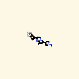 CCN1CCC(C2=CN3CC=C(c4ccc5nn(C)cc5c4)N=C3C(C)=C2)CC1